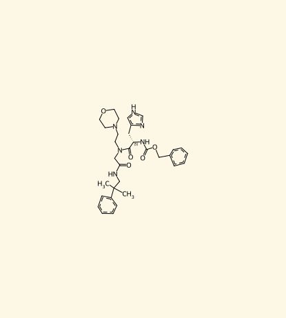 CC(C)(CNC(=O)CN(CCN1CCOCC1)C(=O)[C@H](Cc1c[nH]cn1)NC(=O)OCc1ccccc1)c1ccccc1